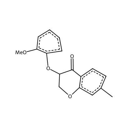 COc1ccccc1OC1COc2cc(C)ccc2C1=O